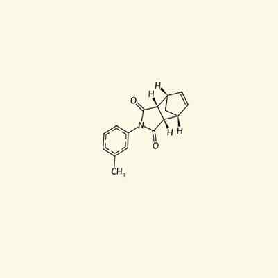 Cc1cccc(N2C(=O)[C@@H]3[C@H](C2=O)[C@@H]2C=C[C@H]3C2)c1